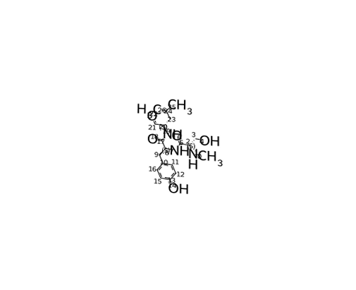 CN[C@@H](CO)C(=O)N[C@@H](Cc1ccc(O)cc1)C(=O)N[C@H](C=O)CC(C)C